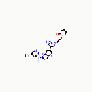 CC(C)c1cnnc(Nc2ccc3ncc(/C(C=N)=C/NCCCN4CCCCC4=O)cc3n2)c1